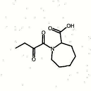 CCC(=O)C(=O)N1CCCCCC1C(=O)O